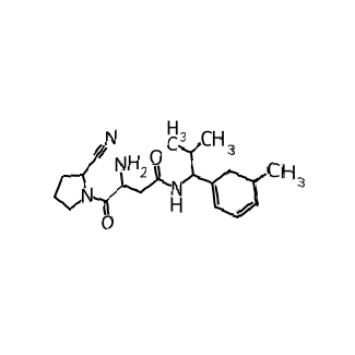 CC1C=CC=C(C(NC(=O)CC(N)C(=O)N2CCCC2C#N)C(C)C)C1